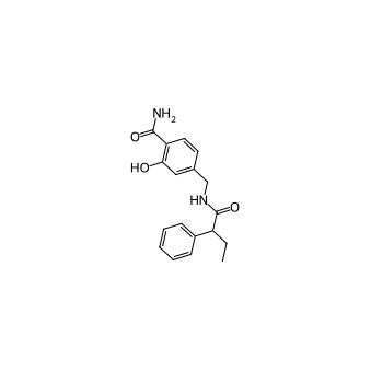 CCC(C(=O)NCc1ccc(C(N)=O)c(O)c1)c1ccccc1